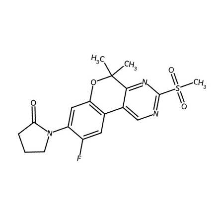 CC1(C)Oc2cc(N3CCCC3=O)c(F)cc2-c2cnc(S(C)(=O)=O)nc21